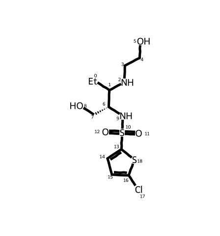 CCC(NCCO)[C@@H](CO)NS(=O)(=O)c1ccc(Cl)s1